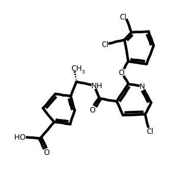 C[C@H](NC(=O)c1cc(Cl)cnc1Oc1cccc(Cl)c1Cl)c1ccc(C(=O)O)cc1